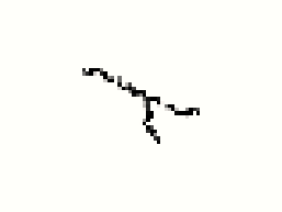 N#CCCOCCCCC(COCCC#N)OCCC#N